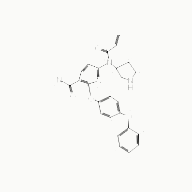 C=CC(=O)N(c1ccc(C(N)=O)c(Oc2ccc(Oc3ccccc3)cc2)n1)C1CCNC1